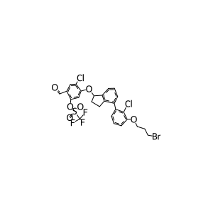 O=Cc1cc(Cl)c(OC2CCc3c(-c4cccc(OCCCBr)c4Cl)cccc32)cc1OS(=O)(=O)C(F)(F)F